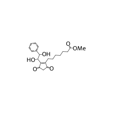 COC(=O)CCCCCCC1=C(C(O)C(O)c2ccccc2)C(=O)CC1=O